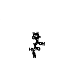 N#CNC(=O)C=C(O)c1ccco1